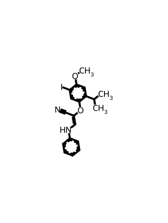 COc1cc(C(C)C)c(OC(C#N)=CNc2ccccc2)cc1I